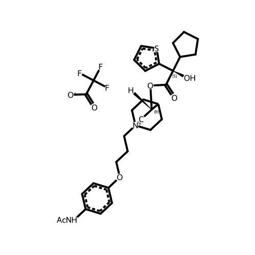 CC(=O)Nc1ccc(OCCC[N+]23CCC(CC2)[C@@H](OC(=O)[C@](O)(c2cccs2)C2CCCC2)C3)cc1.O=C([O-])C(F)(F)F